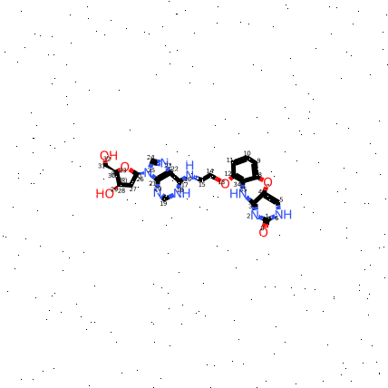 O=c1nc2c(c[nH]1)Oc1cccc(OCCNC3NC=Nc4c3ncn4[C@H]3C[C@@H](O)[C@@H](CO)O3)c1N2